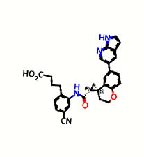 N#Cc1ccc(CCCC(=O)O)c(NC(=O)[C@@H]2C[C@]23CCOc2ccc(-c4cnc5[nH]ccc5c4)cc23)c1